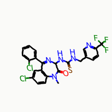 CN1C(=O)C(NC(=S)NCc2ccc(C(F)(F)F)nc2)N=C(c2ccccc2Cl)c2cc(Cl)ccc21